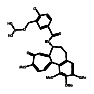 COc1cc2c(c(OC)c1OC)-c1ccc(SC)c(=O)cc1[C@@H](NC(=O)c1ccc(Cl)c(CON(O)O)c1)CC2